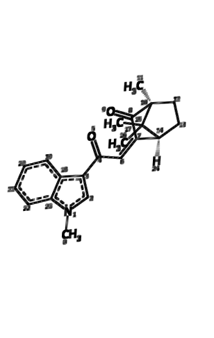 Cn1cc(C(=O)/C=C2\C(=O)[C@@]3(C)CC[C@@H]2C3(C)C)c2ccccc21